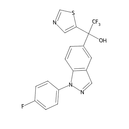 OC(c1ccc2c(cnn2-c2ccc(F)cc2)c1)(c1cncs1)C(F)(F)F